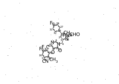 C/C(=C\C(Cn1cnc(C(F)(F)F)c(Oc2cc(F)cc(C#N)c2C)c1=O)=N/NC=O)c1ccc(F)cc1